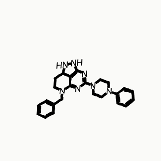 c1ccc(CN2CCC3NNc4nc(N5CCN(c6ccccc6)CC5)nc2c43)cc1